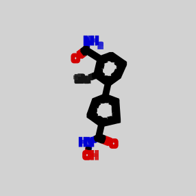 CC(C)(C)c1c(C(N)=O)cccc1-c1ccc(C(=O)NO)cc1